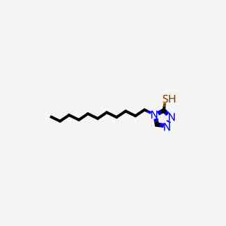 CCCCCCCCCCCn1cnnc1S